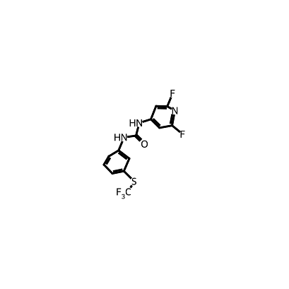 O=C(Nc1cccc(SC(F)(F)F)c1)Nc1cc(F)nc(F)c1